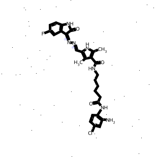 Cc1[nH]c(/C=N/N=C2\C(=O)Nc3ccc(F)cc32)c(C)c1C(=O)NCCCCCC(=O)Nc1ccc(Cl)cc1N